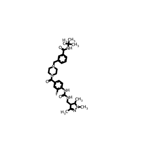 CC1=NN(C)C(C)C1CNC(=O)Nc1ccc(C(=O)N2CCN(Cc3cccc(C(=O)NC(C)(C)C)c3)CC2)cc1F